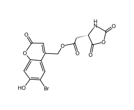 O=C(C[C@@H]1NC(=O)OC1=O)OCc1cc(=O)oc2cc(O)c(Br)cc12